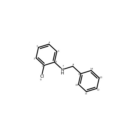 Clc1cc[c]cc1NCc1ccccc1